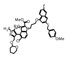 COC(=O)c1c(C(F)(F)F)c2c(-c3c(COC4CCCCO4)nn(C)c3C)c(Cl)ccc2n1CCCOc1cc(SCc2ccc(OC)cc2)cc2cc(F)ccc12